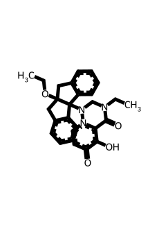 CCOC12Cc3ccccc3C1(N1CN(CC)C(=O)c3c(O)c(=O)ccn31)c1ccccc1C2